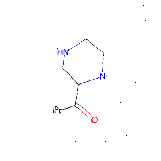 CC(C)C(=O)C1CNCC[N]1